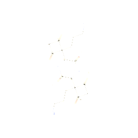 NCCCC1(C2NC(=O)C(C3(CCCN)C(=O)CC3=O)NC2=O)C(=O)CC1=O